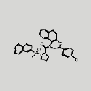 O=C(C1CCCN1S(=O)(=O)c1ccc2ccccc2c1)N1CC(c2ccc(Cl)cc2)Sc2ccc3ccccc3c21